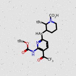 CC(C)(C)OC(=O)Nc1nc([AsH]C2CCCN(C(=O)O)C2C(C)(C)C)ccc1C(=O)C(F)(F)F